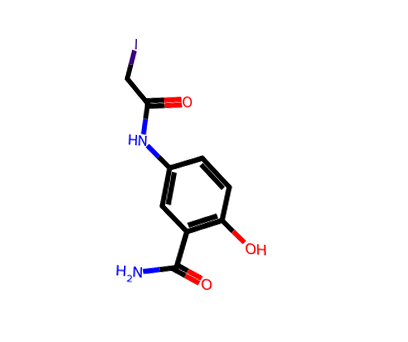 NC(=O)c1cc(NC(=O)CI)ccc1O